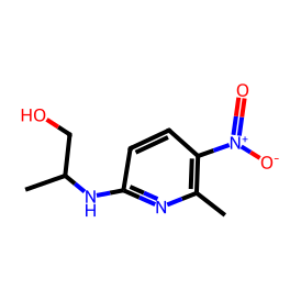 Cc1nc(NC(C)CO)ccc1[N+](=O)[O-]